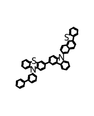 c1ccc(-c2cccc(N3c4ccccc4Sc4cc(-c5ccc6c(c5)c5ccccc5n6-c5ccc6c(ccc7c8ccccc8sc67)c5)ccc43)c2)cc1